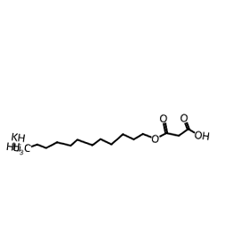 CCCCCCCCCCCCOC(=O)CC(=O)O.[KH].[LiH]